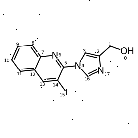 OCc1cn(-c2nc3ccccc3cc2I)cn1